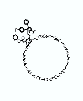 CC(C)c1cc(-c2ccccc2)c(-c2ccc(F)cc2)n1CC[C@@H]1C[C@H](CC(=O)OC2CCCCC2)OC2(CCCCCCCCCCCCCCCCCCCCCCCCCCCCCCCCCCCCCCCCCCCCCCCCCCC2)O1